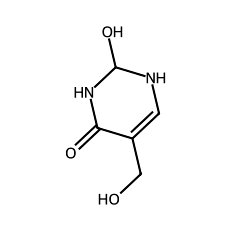 O=C1NC(O)NC=C1CO